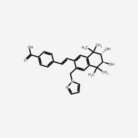 CC1(C)c2cc(/C=C/c3ccc(C(=O)O)cc3)c(Cn3cccn3)cc2C(C)(C)[C@H](O)[C@H]1O